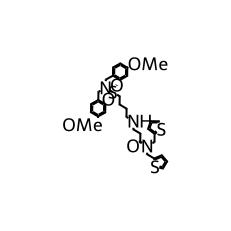 COc1ccc(CN(Cc2ccc(OC)cc2)S(=O)(=O)CCCCNCCC(=O)N(Cc2cccs2)Cc2cccs2)cc1